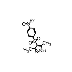 Cc1n[nH]c(C)c1S(=O)(=O)c1ccc([N+](=O)[O-])cc1